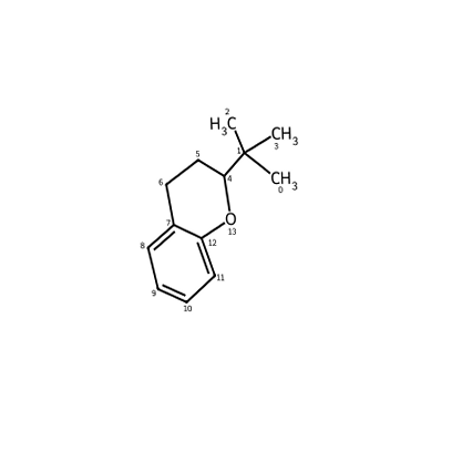 CC(C)(C)C1CCc2ccccc2O1